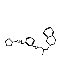 CC(COc1cccc(CNC2CCCC2)c1)CN1CCc2ccccc2C1